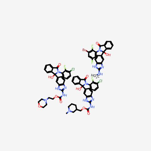 CN1CCCC(COC(=O)Nc2nc3ccc(C4(O)c5ccccc5C(=O)N4c4cccc(Cl)c4F)cc3[nH]2)C1.O=C(Nc1nc2ccc(C3(O)c4ccccc4C(=O)N3c3cccc(Cl)c3F)cc2[nH]1)OCCN1CCOCC1.O=C(O)Nc1nc2cc(C3(O)c4ccccc4C(=O)N3c3cc(F)cc(Br)c3F)ccc2[nH]1